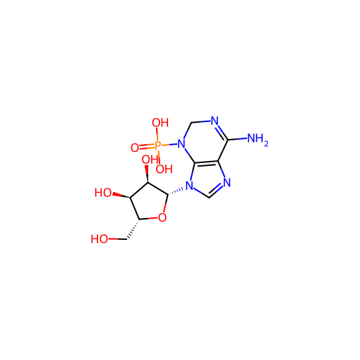 NC1=NCN(P(=O)(O)O)c2c1ncn2[C@@H]1O[C@H](CO)[C@@H](O)[C@H]1O